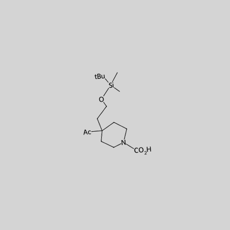 CC(=O)C1(CCO[Si](C)(C)C(C)(C)C)CCN(C(=O)O)CC1